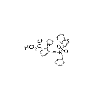 O=C(O)c1cccc(C#CN(Cc2ccccc2)S(=O)(=O)c2csc3ccccc23)c1-n1cccc1.[Li]